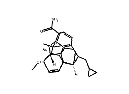 CO[C@@]12C=CC3(C[C@@H]1C(C)(C)O)[C@H]1Cc4ccc(C(N)=O)c5c4C3(CCC1CC1CC1)[C@H]2O5